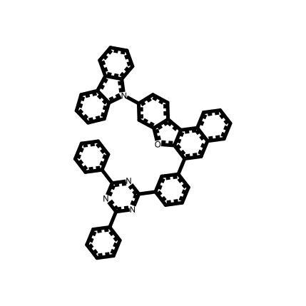 c1ccc(-c2nc(-c3ccccc3)nc(-c3cccc(-c4cc5ccccc5c5c4oc4cc(-n6c7ccccc7c7ccccc76)ccc45)c3)n2)cc1